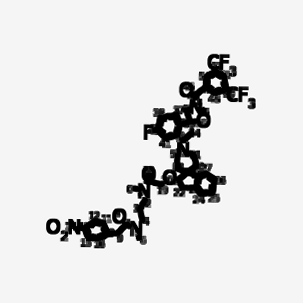 CN(CCCN(C)C(=O)Cc1ccc([N+](=O)[O-])cc1)C(=O)CO[C@H]1Cc2ccccc2C12CCN(CC[C@]1(c3ccc(F)cc3)CN(C(=O)c3cc(C(F)(F)F)cc(C(F)(F)F)c3)CO1)CC2